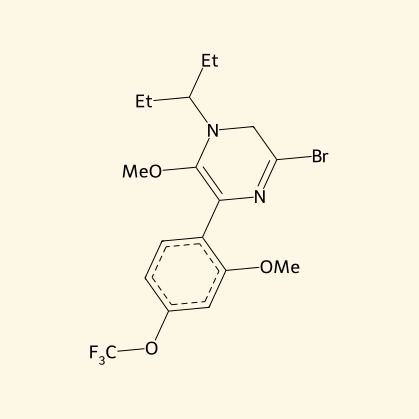 CCC(CC)N1CC(Br)=NC(c2ccc(OC(F)(F)F)cc2OC)=C1OC